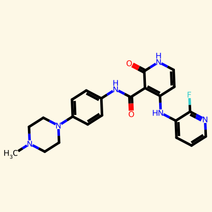 CN1CCN(c2ccc(NC(=O)c3c(Nc4cccnc4F)cc[nH]c3=O)cc2)CC1